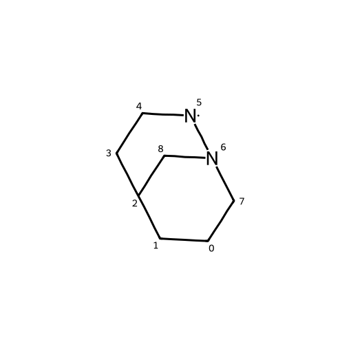 C1CC2CC[N]N(C1)C2